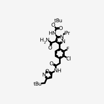 CC(C)n1nc(-c2ccc(CC(=O)Nc3cc(CC(C)(C)C)no3)c(Cl)c2F)c(C(N)=O)c1NC(=O)OC(C)(C)C